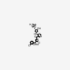 CO[C@H](c1cccc(Cl)c1)c1cc(C(=O)c2cncnc2N[C@@H]2C[C@H](COS(N)(=O)=O)[C@@H](O)C2)sc1Cl